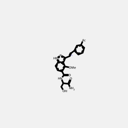 COc1c(C(=O)NC(CO)C(N)=O)ccc2[nH]nc(/C=C/c3cccc(C(C)=O)c3)c12